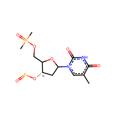 Cc1cn(C2C[C@H](OP=O)C(COP(C)(C)=O)O2)c(=O)[nH]c1=O